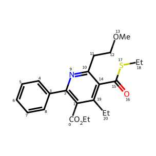 CCOC(=O)c1c(-c2ccccc2)nc(CCOC)c(C(=O)SCC)c1CC